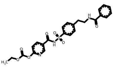 CCOC(=O)Oc1ccc(C(=O)NS(=O)(=O)c2ccc(CCNC(=O)c3ccccc3)cc2)cn1